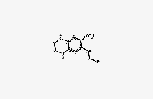 CC(C)CNc1cc2c(cc1C(=O)O)OCCO2